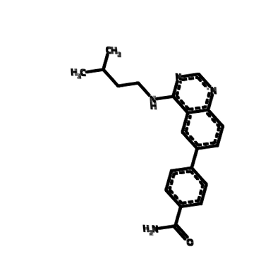 CC(C)CCNc1ncnc2ccc(-c3ccc(C(N)=O)cc3)cc12